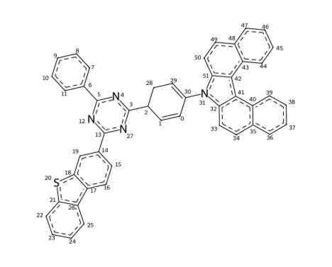 C1=CC(c2nc(-c3ccccc3)nc(-c3ccc4c(c3)sc3ccccc34)n2)CC=C1n1c2ccc3ccccc3c2c2c3ccccc3ccc21